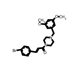 COc1cc(CN2CCN(C(=O)/C=C/c3ccc(Br)cc3)CC2)cc(OC)c1